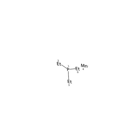 CCP(CC)CC.[Mn]